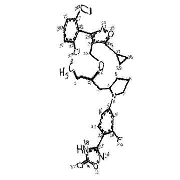 CCC(CC1CCCN1c1ccc(-c2noc(=O)[nH]2)c(F)c1)OCc1c(-c2c(Cl)cccc2Cl)noc1C1CC1